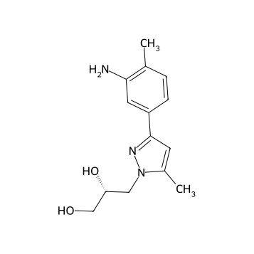 Cc1ccc(-c2cc(C)n(C[C@@H](O)CO)n2)cc1N